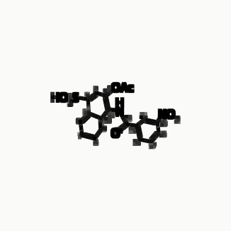 CC(=O)Oc1cc(S(=O)(=O)O)c2ccccc2c1NC(=O)c1cccc([N+](=O)[O-])c1